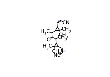 CC(C(=O)C(C)C1C(/C=C\C#N)C1(C)C)C1C(/C=C\C#N)C1(C)C